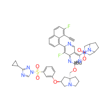 C#Cc1c(F)ccc2cccc(-c3ncc4c(N5CC6CCC(C5)N6C(=O)OC(C)(C)C)nc(OC[C@]56CCCN5C[C@@H](Oc5cccc(S(=O)(=O)n7cnc(C8CC8)n7)c5)C6)nc4c3F)c12